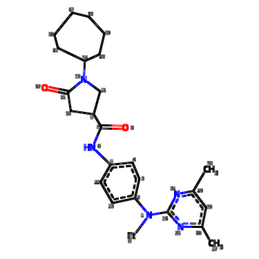 CCN(c1ccc(NC(=O)C2CC(=O)N(C3CCCCCC3)C2)cc1)c1nc(C)cc(C)n1